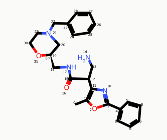 Cc1oc(-c2ccccc2)nc1C(CN)C(=O)NC[C@@H]1CN(Cc2ccccc2)CCO1